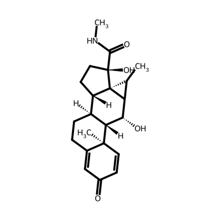 CNC(=O)[C@@]1(O)CC[C@H]2[C@@H]3CCC4=CC(=O)C=C[C@]4(C)[C@H]3[C@@H](O)C3C(C)[C@]321